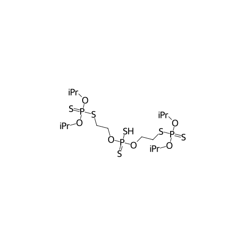 CC(C)OP(=S)(OC(C)C)SCCOP(=S)(S)OCCSP(=S)(OC(C)C)OC(C)C